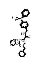 CN(c1ccccc1)c1ccc(CNC(=O)[C@H](CSCC2CCCCC2)NC(=O)[C@@H]2CSCN2)cc1